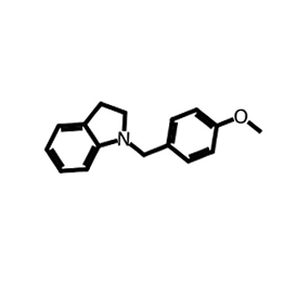 COc1ccc(CN2CCc3ccccc32)cc1